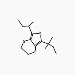 CCC(C)c1sc(C(C)(C)CC)c2c1SCCS2